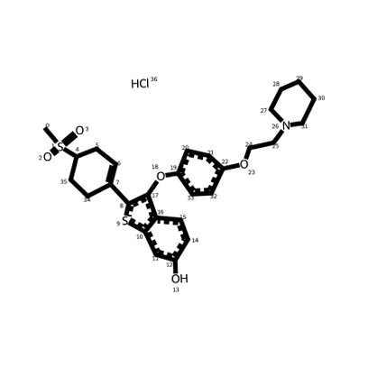 CS(=O)(=O)C1CC=C(c2sc3cc(O)ccc3c2Oc2ccc(OCCN3CCCCC3)cc2)CC1.Cl